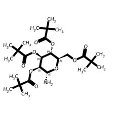 CC(C)(C)C(=O)OC[C@H]1O[C@H](N)[C@@H](OC(=O)C(C)(C)C)[C@@H](OC(=O)C(C)(C)C)[C@@H]1OC(=O)C(C)(C)C